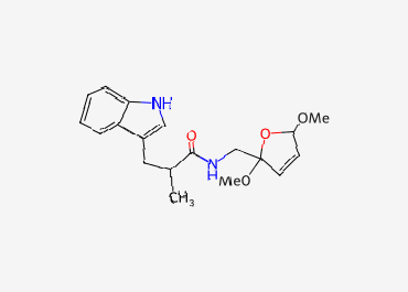 COC1C=CC(CNC(=O)C(C)Cc2c[nH]c3ccccc23)(OC)O1